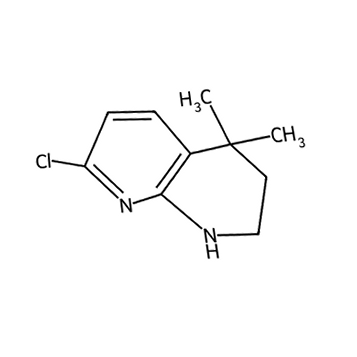 CC1(C)CCNc2nc(Cl)ccc21